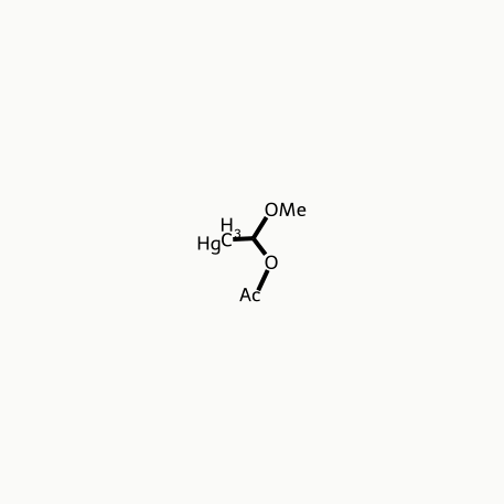 COC(C)OC(C)=O.[Hg]